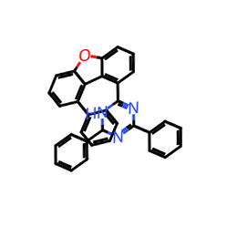 c1ccc(C2=NC(c3ccccc3)NC(c3cccc4oc5cccc(-c6ccccc6)c5c34)=N2)cc1